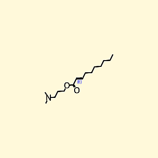 CCCCCCC/C=C/C(=O)OCCCN(C)C